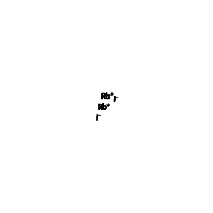 [I-].[I-].[Rb+].[Rb+]